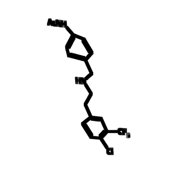 CC(=O)Nc1ccc(CNCCc2ccc(Cl)c(C(F)(F)F)c2)cc1